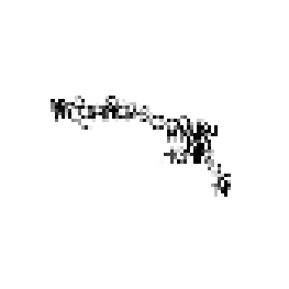 Cc1ncsc1-c1ccc([C@H](C)NC(=O)[C@@H]2C[C@@H](O)CN2C(=O)[C@@H](NC(=O)COCCOCCOCCN2C(C)(C)CN(NC(=O)c3ccc(Oc4cccc(-c5ccnnc5)c4C#N)c(Cl)c3)CC2(C)C)C(C)(C)C)cc1